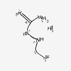 CCCCCNNC(=N)N.I